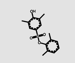 Cc1cc(S(=O)(=O)Oc2c(C)cccc2C)cc(C)c1O